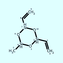 C=C[SiH]1O[SiH](C)O[SiH](C=C)O1